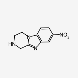 O=[N+]([O-])c1ccc2c(c1)nc1n2CCNC1